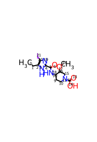 CCc1[nH]c(C(=O)N[C@@H]2CCN(C(=O)O)C[C@@H]2OC)nc1I